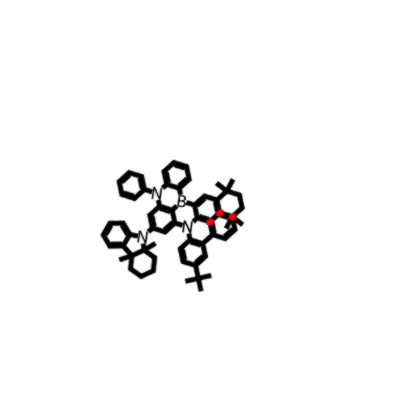 CC(C)(C)c1ccc(N2c3cc4c(cc3B3c5ccccc5N(c5ccccc5)c5cc(N6c7ccccc7C7(C)CCCCC67C)cc2c53)C(C)(C)CCC4(C)C)c(-c2ccccc2)c1